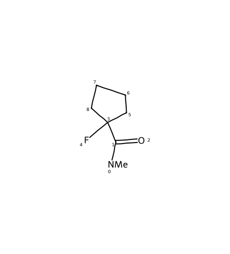 CNC(=O)C1(F)CCCC1